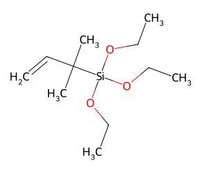 C=CC(C)(C)[Si](OCC)(OCC)OCC